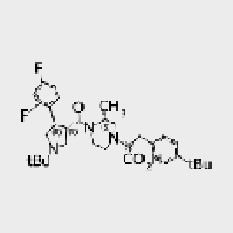 C[C@H]1CN([C@@H](Cc2ccc(C(C)(C)C)cc2)C(=O)O)CCN1C(=O)[C@@H]1CN(C(C)(C)C)C[C@H]1c1ccc(F)cc1F